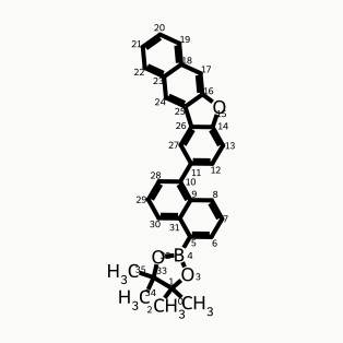 CC1(C)OB(c2cccc3c(-c4ccc5oc6cc7ccccc7cc6c5c4)cccc23)OC1(C)C